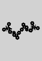 CC1C2C(c3ccccc3)=NC(c3ccccc3)=NC12c1cccc(-n2ccc3c2ccc2c4ccccc4n(-c4ccc(-c5ccc(-n6c7ccccc7c7ccc8c(ccn8-c8cccc(-c9nc(-c%10ccccc%10)nc(-c%10ccccc%10)n9)c8)c76)cc5)cc4)c23)c1